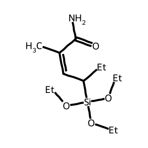 CCO[Si](OCC)(OCC)C(C=C(C)C(N)=O)CC